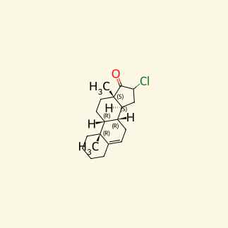 C[C@]12CCCCC1=CC[C@@H]1[C@H]2CC[C@]2(C)C(=O)C(Cl)C[C@@H]12